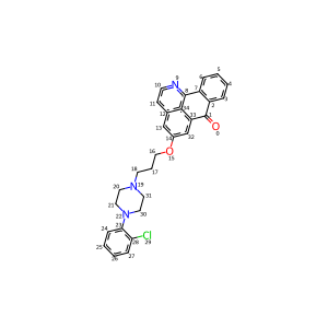 O=C1c2ccccc2-c2nccc3cc(OCCCN4CCN(c5ccccc5Cl)CC4)cc1c23